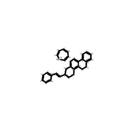 C(=CC1CCc2c(ccc3c2CCc2ccccc2-3)C1)c1ccccc1.C1=CC=CNC=C1